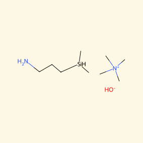 C[N+](C)(C)C.C[SiH](C)CCCN.[OH-]